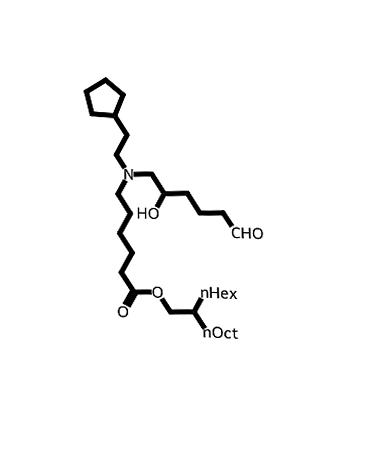 CCCCCCCCC(CCCCCC)COC(=O)CCCCCN(CCC1CCCC1)CC(O)CCCC=O